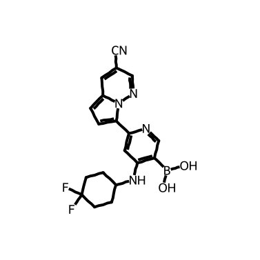 N#Cc1cnn2c(-c3cc(NC4CCC(F)(F)CC4)c(B(O)O)cn3)ccc2c1